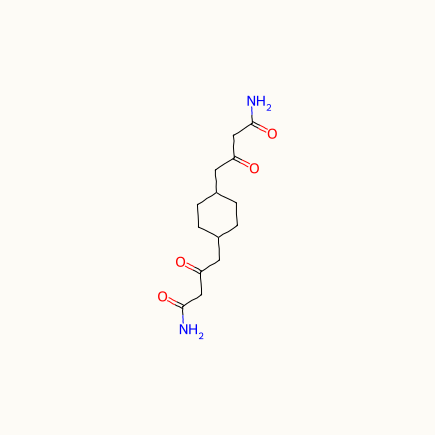 NC(=O)CC(=O)CC1CCC(CC(=O)CC(N)=O)CC1